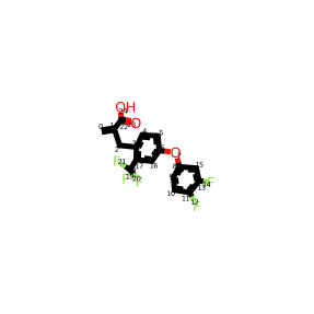 C=C(Cc1ccc(Oc2ccc(F)c(F)c2)cc1C(F)(F)F)C(=O)O